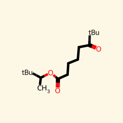 CC(OC(=O)CCCCC(=O)C(C)(C)C)C(C)(C)C